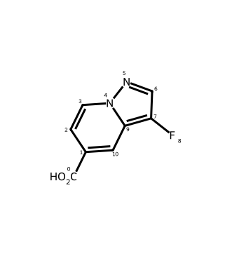 O=C(O)c1ccn2ncc(F)c2c1